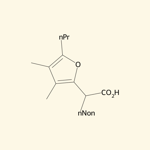 CCCCCCCCCC(C(=O)O)c1oc(CCC)c(C)c1C